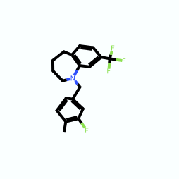 Cc1ccc(CN2CCCCc3ccc(C(F)(F)F)cc32)cc1F